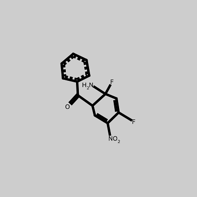 NC1(F)C=C(F)C([N+](=O)[O-])=CC1C(=O)c1ccccc1